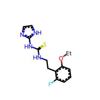 CCOc1cccc(F)c1CCNC(=S)Nc1ncc[nH]1